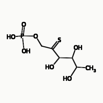 CC(O)C(O)C(O)C(=S)COP(=O)(O)O